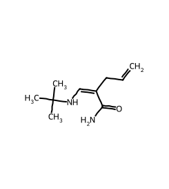 C=CCC(=CNC(C)(C)C)C(N)=O